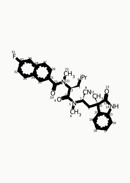 CC(C)C[C@@H](C(=O)N(C)[C@H](C#N)C[C@@]1(C)C(=O)Nc2ccccc21)N(C)C(=O)c1ccc2cc(F)ccc2c1